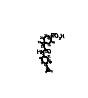 O=C(Nc1ccc(C2CC2)nc1)C1CC12CCN(C(=O)O)CC2